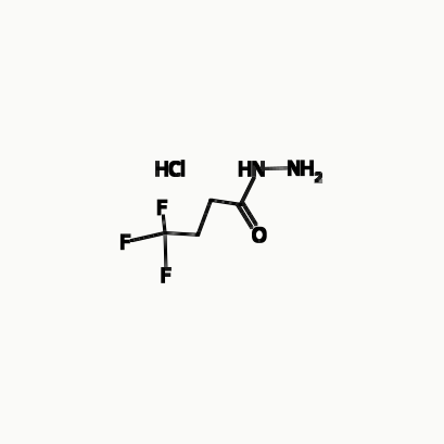 Cl.NNC(=O)CCC(F)(F)F